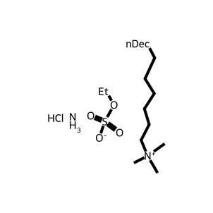 CCCCCCCCCCCCCCCC[N+](C)(C)C.CCOS(=O)(=O)[O-].Cl.N